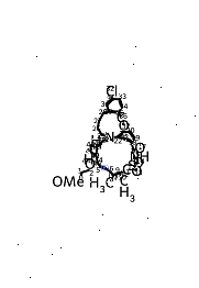 COCCO[C@H]1/C=C/[C@H](C)[C@H](C)CS(=O)(=O)NC(=O)c2ccc3c(c2)N(CCCCc2cc(Cl)ccc2CO3)C[C@@H]2CC[C@H]21